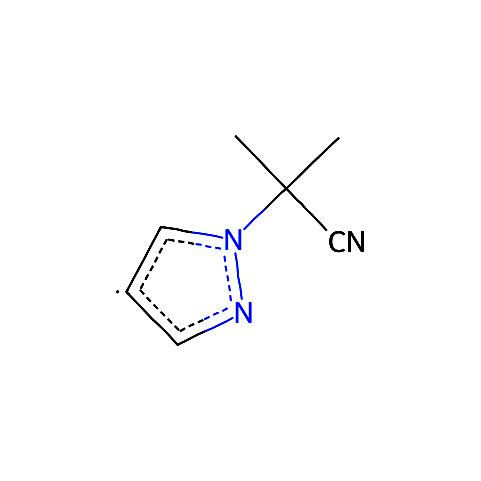 CC(C)(C#N)n1c[c]cn1